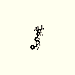 CNc1nc2[nH]c(-c3cccc(CN(C)C(=O)[C@@H](OC)c4ccccc4)n3)cc2c2c1ncn2C